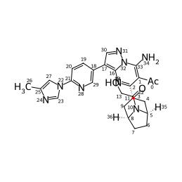 CC(=O)c1c([C@@H]2C[C@H]3CC[C@@H](C2)N3C(=O)CO)nc2c(-c3ccc(-n4cnc(C)c4)nc3)cnn2c1N